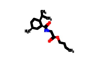 CCCCOC(=O)CNC(=O)[C@@H]1C[C@H](C)CC[C@H]1C(C)C